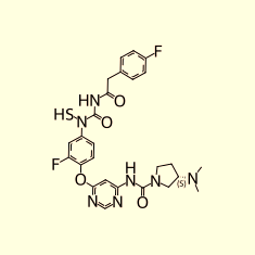 CN(C)[C@H]1CCN(C(=O)Nc2cc(Oc3ccc(N(S)C(=O)NC(=O)Cc4ccc(F)cc4)cc3F)ncn2)C1